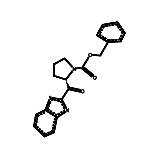 O=C(c1nc2ccccc2s1)[C@@H]1CCCN1C(=O)OCc1ccccc1